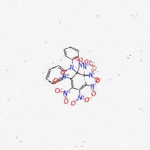 O=[N+]([O-])C1=C([N+](=O)[O-])C(N(c2ccccc2)c2ccccc2)([N+](=O)[O-])C([N+](=O)[O-])([N+](=O)[O-])C([N+](=O)[O-])=C1[N+](=O)[O-]